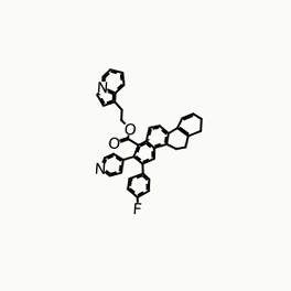 O=C(OCCc1ccn2ccccc12)c1c(-c2ccncc2)c(-c2ccc(F)cc2)cc2c3c(ccc12)C1=C(CCC=C1)CC3